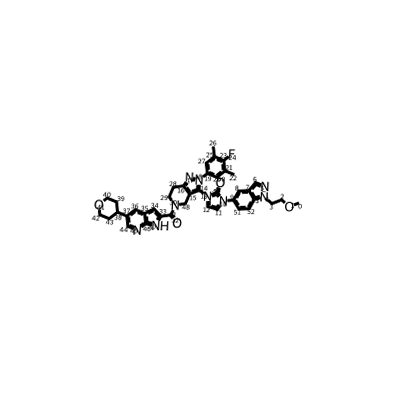 COCCn1ncc2cc(-n3ccn(-c4c5c(nn4-c4cc(C)c(F)c(C)c4)CCN(C(=O)c4cc6cc(C7CCOCC7)cnc6[nH]4)C5)c3=O)ccc21